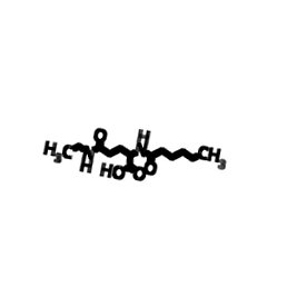 CCCCCC(=O)NC(CCC(=O)NCC)C(=O)O